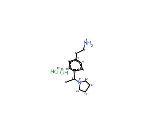 CC(c1ccc(CCN)cc1)N1CCCC1.Cl.Cl